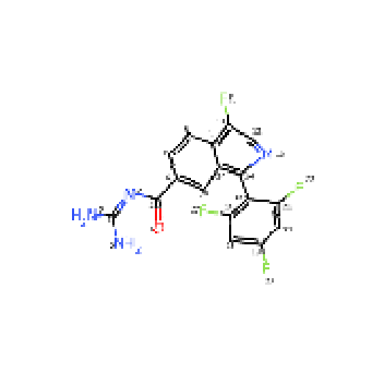 NC(N)=NC(=O)c1ccc2c(F)cnc(-c3c(F)cc(F)cc3F)c2c1